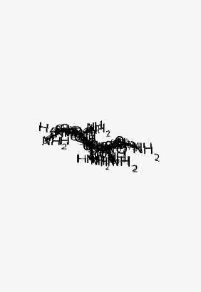 C[C@@H](NC(=O)CCCCN)C(=O)Nc1ccc2on([C@H](CCCNC(=N)N)C(=O)Nc3ccc4on([C@H](CCCNC(=N)N)C(=O)Nc5ccc6on([C@H](CCCNC(=N)N)C(=O)Nc7ccc8on(CCCCCN)c(=O)c8c7)c(=O)c6c5)c(=O)c4c3)c(=O)c2c1